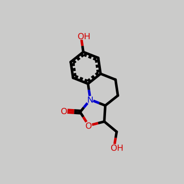 O=C1OC(CO)C2CCc3cc(O)ccc3N12